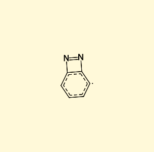 [c]1cccc2c1N=N2